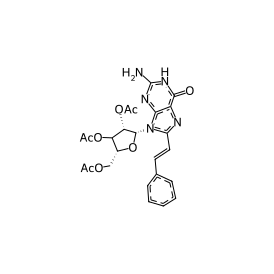 CC(=O)OC[C@H]1O[C@@H](n2c(/C=C/c3ccccc3)nc3c(=O)[nH]c(N)nc32)[C@@H](OC(C)=O)C1OC(C)=O